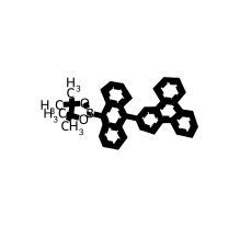 CC1(C)OB(c2c3ccccc3c(-c3ccc4c5ccccc5c5ccccc5c4c3)c3ccccc23)OC1(C)C